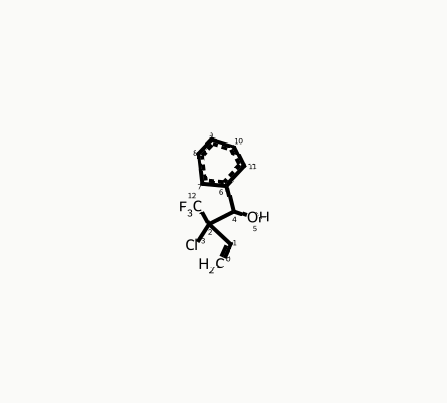 C=CC(Cl)(C(O)c1ccccc1)C(F)(F)F